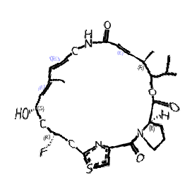 CC1=C\[C@@H](O)C[C@@H](F)Cc2nc(cs2)C(=O)N2CCC[C@@H]2C(=O)OC(C(C)C)[C@H](C)/C=C/C(=O)NC\C=C\1